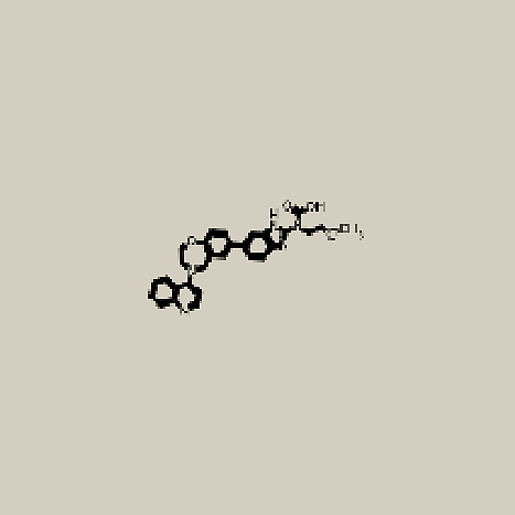 COCCN(C(=O)O)c1nc2ccc(-c3ccc4c(c3)CN(c3ccnc5ccccc35)CCO4)cc2[nH]1